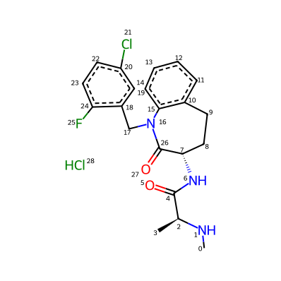 CN[C@@H](C)C(=O)N[C@H]1CCc2ccccc2N(Cc2cc(Cl)ccc2F)C1=O.Cl